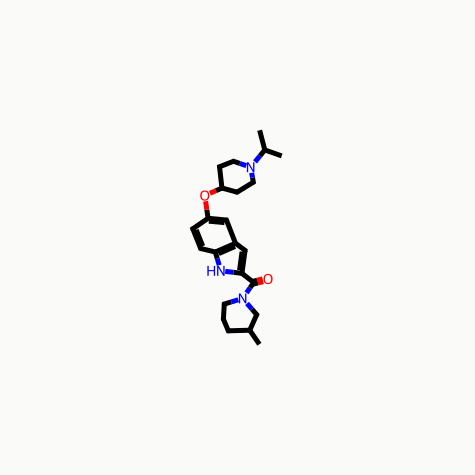 CC1CCCN(C(=O)c2cc3cc(OC4CCN(C(C)C)CC4)ccc3[nH]2)C1